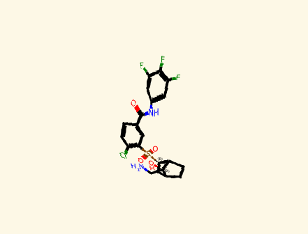 NC[C@@]1(O)C2CCC1[C@H](S(=O)(=O)c1cc(C(=O)Nc3cc(F)c(F)c(F)c3)ccc1Cl)C2